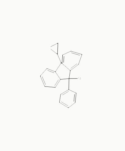 NC(c1ccccc1)(c1ccccc1)c1ccccc1CC1CO1